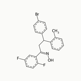 Cc1ccccc1C(C/C(=N/O)c1cc(F)ccc1F)c1ccc(Br)cc1